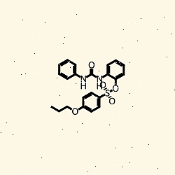 CCCOc1ccc(S(=O)(=O)Oc2ccccc2NC(=O)Nc2ccccc2)cc1